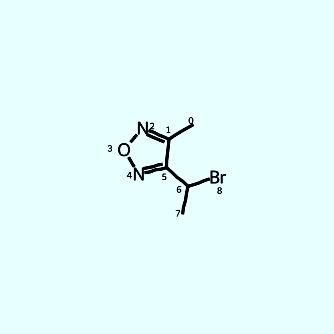 Cc1nonc1C(C)Br